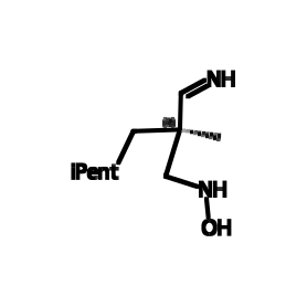 CCCC(C)C[C@@](C)(C=N)CNO